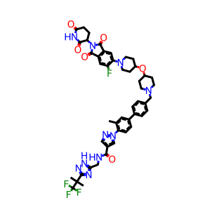 Cc1cc(-c2ccc(CN3CCC(OC4CCN(c5cc6c(cc5F)C(=O)N(C5CCC(=O)NC5=O)C6=O)CC4)CC3)cc2)ccc1-n1cc(C(=O)NCc2nc(C(C)(C)C(F)(F)F)n[nH]2)cn1